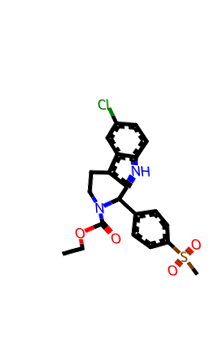 CCOC(=O)N1CCc2c([nH]c3ccc(Cl)cc23)C1c1ccc(S(C)(=O)=O)cc1